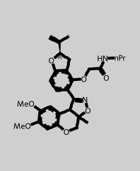 C=C(C)[C@H]1Cc2c(ccc(C3=NOC4(C)COc5cc(OC)c(OC)cc5C34)c2OCC(=O)NCCC)O1